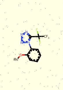 CCC(C)Oc1ccccc1-n1nnnc1C(F)(F)C(F)(F)F